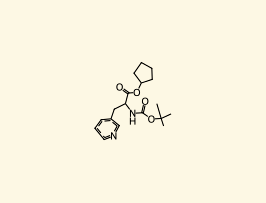 CC(C)(C)OC(=O)NC(Cc1cccnc1)C(=O)OC1CCCC1